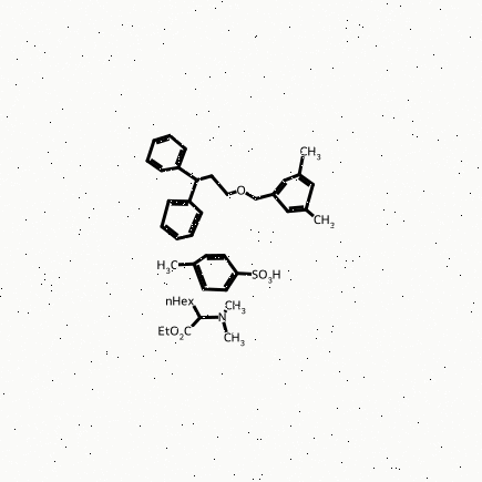 CCCCCCC(C(=O)OCC)N(C)C.Cc1cc(C)cc(COCCC(c2ccccc2)c2ccccc2)c1.Cc1ccc(S(=O)(=O)O)cc1